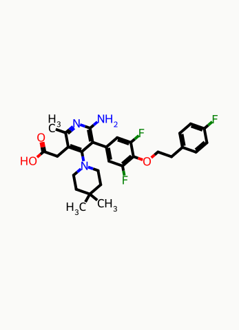 Cc1nc(N)c(-c2cc(F)c(OCCc3ccc(F)cc3)c(F)c2)c(N2CCC(C)(C)CC2)c1CC(=O)O